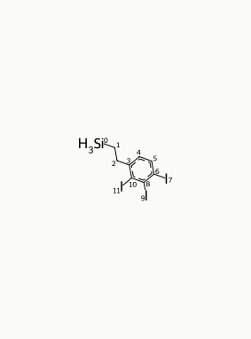 [SiH3]CCc1ccc(I)c(I)c1I